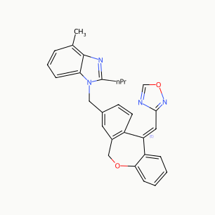 CCCc1nc2c(C)cccc2n1Cc1ccc2c(c1)COc1ccccc1/C2=C/c1ncon1